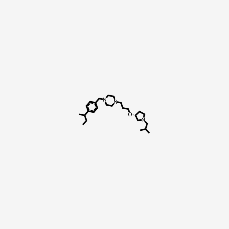 CCC(C)c1ccc(CN2CCN(CCCO[C@@H]3CCN(CC(C)C)C3)CC2)cc1